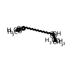 CC1(C)COB(c2ccc(CCCCCCCCCCCCCCCCCCOP(=O)(O)OCC[N+](C)(C)C)cc2)OC1